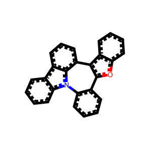 c1ccc2c(c1)-c1oc3ccccc3c1-c1cccc3c4ccccc4n-2c13